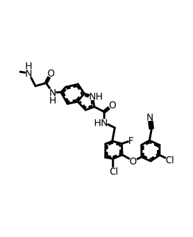 CNCC(=O)Nc1ccc2[nH]c(C(=O)NCc3ccc(Cl)c(Oc4cc(Cl)cc(C#N)c4)c3F)cc2c1